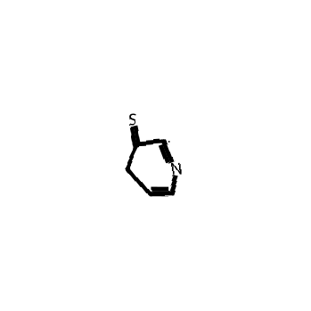 S=C1[C]=NC=CC1